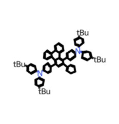 CC(C)(C)c1ccc(N(c2ccc(-c3cc(C4=CCCC=C4)c(-c4ccc(N(c5ccc(C(C)(C)C)cc5)c5ccc(C(C)(C)C)cc5)cc4)c4c5ccccc5c5ccccc5c34)cc2)c2ccc(C(C)(C)C)cc2)cc1